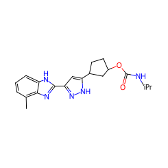 Cc1cccc2[nH]c(-c3cc(C4CCC(OC(=O)NC(C)C)C4)[nH]n3)nc12